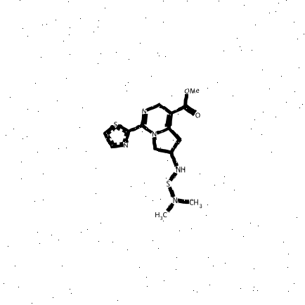 COC(=O)C1=C2CC(NSN(C)C)CN2C(c2nccs2)=NC1